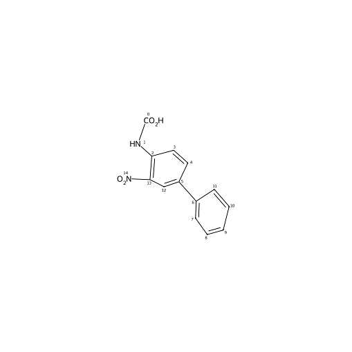 O=C(O)Nc1ccc(-c2ccccc2)cc1[N+](=O)[O-]